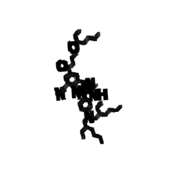 CCCCC(CC)CN(CC(CC)CCCC)c1ccc(N=Nc2c(C#N)cc(C(=O)CCCOC(CC)CCCC)cc2C#N)c(NC(C)=O)c1